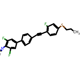 CCCSc1ccc(C#Cc2ccc(-c3cc(F)c(N=C=S)c(F)c3)cc2)c(F)c1